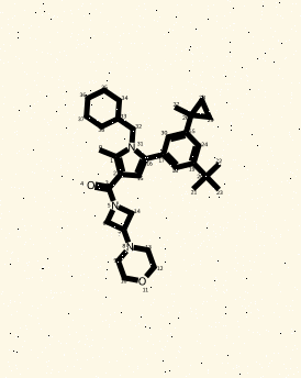 Cc1c(C(=O)N2CC(N3CCOCC3)C2)cc(-c2cc(C(C)(C)C)cc(C3(C)CC3)c2)n1CC1CCCCC1